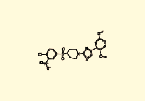 COc1ccc(OC)c(-c2csc(N3CCC(S(=O)(=O)c4ccc(Cl)c([N+](=O)[O-])c4)CC3)n2)c1